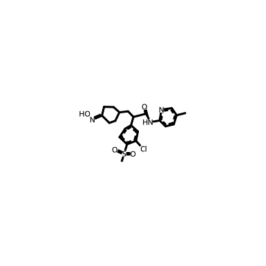 Cc1ccc(NC(=O)C(CC2CCC(=NO)CC2)c2ccc(S(C)(=O)=O)c(Cl)c2)nc1